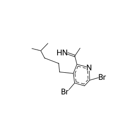 CC(=N)c1nc(Br)cc(Br)c1CCCC(C)C